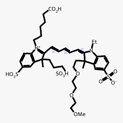 CCN1/C(=C/C=C/C=C/C2=[N+](CCCCCC(=O)O)c3ccc(S(=O)(=O)O)cc3C2(C)CCCS(=O)(=O)O)C(C)(CCOCCOCCOC)c2cc(S(=O)(=O)[O-])ccc21